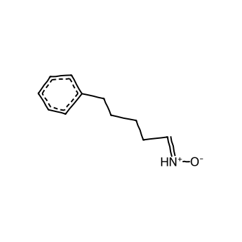 [O-][NH+]=CCCCCc1ccccc1